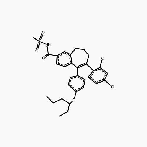 CCCC(CC)Oc1ccc(C2=C(c3ccc(Cl)cc3Cl)CCCc3cc(C(=O)NS(C)(=O)=O)ccc32)cc1